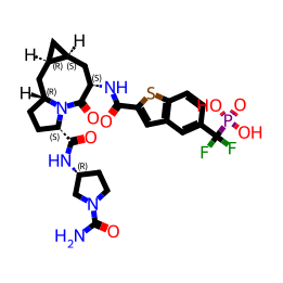 NC(=O)N1CC[C@@H](NC(=O)[C@@H]2CC[C@@H]3C[C@H]4C[C@H]4C[C@H](NC(=O)c4cc5cc(C(F)(F)P(=O)(O)O)ccc5s4)C(=O)N32)C1